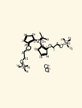 C[C](C)=[Zr+2]([C]1=C(OCCO[Si](C)(C)C)C=CC1)[C]1=C(OCCO[Si](C)(C)C)C=CC1.[Cl-].[Cl-]